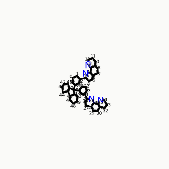 c1cc(-c2ccc3ccc4cccnc4c3n2)cc(C2(c3cccc(-c4ccc5ccc6cccnc6c5n4)c3)c3ccccc3-c3ccccc32)c1